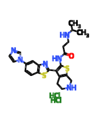 CC(C)NCCC(=O)Nc1sc2c(c1-c1nc3cc(-n4ccnc4)ccc3s1)CCNC2.Cl.Cl